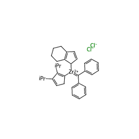 CC(C)C1=CC[C]([Zr+2](=[C](c2ccccc2)c2ccccc2)[CH]2C=CC3=C2CCCC3)=C1C(C)C.[Cl-].[Cl-]